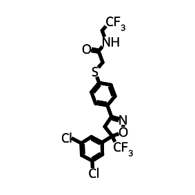 O=C(CSc1ccc(C2=NOC(c3cc(Cl)cc(Cl)c3)(C(F)(F)F)C2)cc1)NCC(F)(F)F